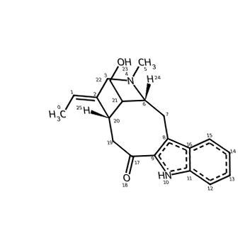 C/C=C1/CN(C)[C@@H]2Cc3c([nH]c4ccccc34)C(=O)C[C@H]1C2CO